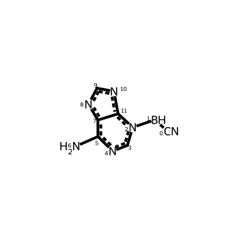 N#CBn1cnc(N)c2ncnc1-2